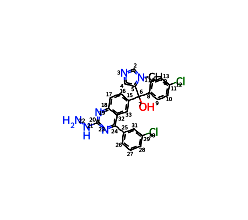 Cn1cncc1C(O)(c1ccc(Cl)cc1)c1ccc2nc(NN)nc(-c3cccc(Cl)c3)c2c1